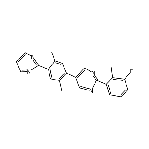 Cc1cc(-c2ncccn2)c(C)cc1-c1cnc(-c2cccc(F)c2C)nc1